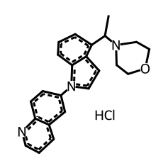 CC(c1cccc2c1ccn2-c1ccc2ncccc2c1)N1CCOCC1.Cl